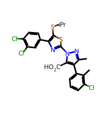 Cc1nn(-c2nc(-c3ccc(Cl)c(Cl)c3)c(SC(C)C)s2)c(C(=O)O)c1-c1cccc(Cl)c1C